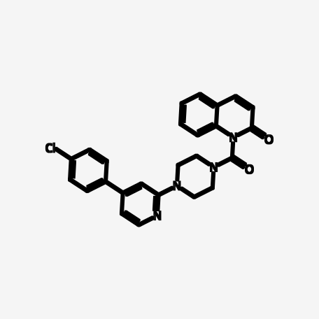 O=C(N1CCN(c2cc(-c3ccc(Cl)cc3)ccn2)CC1)n1c(=O)ccc2ccccc21